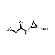 CN[C@H]1C[C@H]1NC(=O)OC(C)(C)C